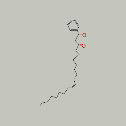 CCCCCCCC/C=C\CCCCCCCC(=O)CC(=O)c1ccccc1